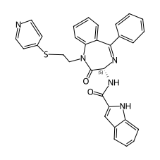 O=C(N[C@H]1N=C(c2ccccc2)c2ccccc2N(CCSc2ccncc2)C1=O)c1cc2ccccc2[nH]1